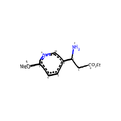 CCOC(=O)CC(N)c1ccc(OC)nc1